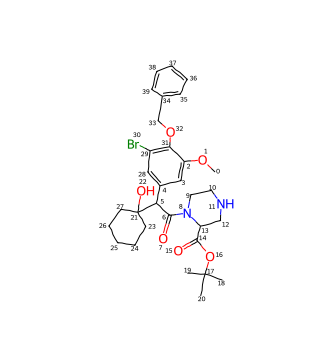 COc1cc(C(C(=O)N2CCNCC2C(=O)OC(C)(C)C)C2(O)CCCCC2)cc(Br)c1OCc1ccccc1